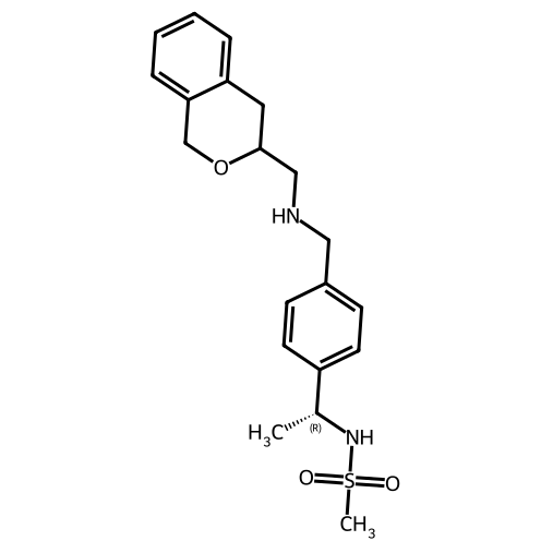 C[C@@H](NS(C)(=O)=O)c1ccc(CNCC2Cc3ccccc3CO2)cc1